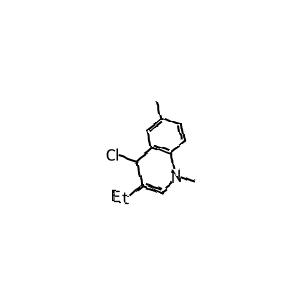 CCC1=CN(C)c2ccc(C)cc2C1Cl